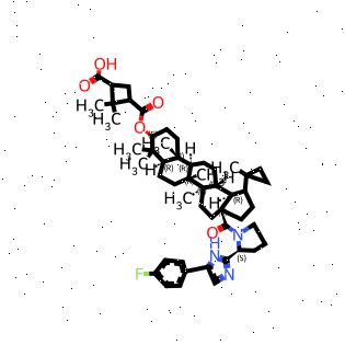 CC1(C2CC[C@]3(C(=O)N4CCC[C@H]4c4ncc(-c5ccc(F)cc5)[nH]4)CC[C@]4(C)[C@H](CC[C@@H]5[C@@]6(C)CC[C@H](OC(=O)C7CC(C(=O)O)C7(C)C)C(C)(C)[C@@H]6CC[C@]54C)[C@@H]23)CC1